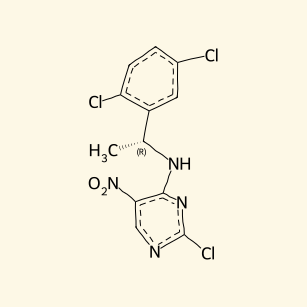 C[C@@H](Nc1nc(Cl)ncc1[N+](=O)[O-])c1cc(Cl)ccc1Cl